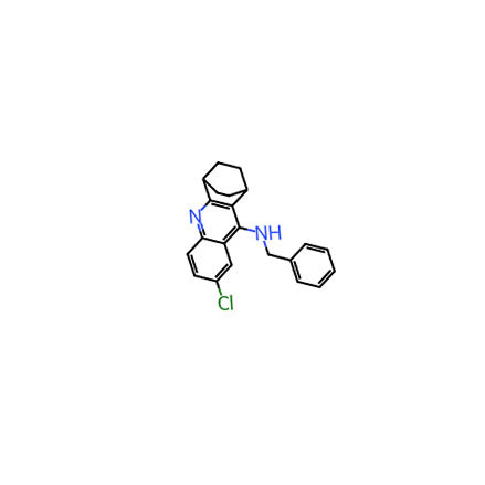 Clc1ccc2nc3c(c(NCc4ccccc4)c2c1)C1CCC3CC1